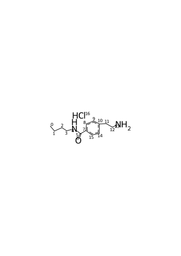 CCCCNC(=O)c1ccc(CCN)cc1.Cl